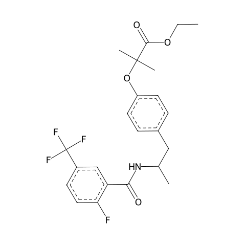 CCOC(=O)C(C)(C)Oc1ccc(CC(C)NC(=O)c2cc(C(F)(F)F)ccc2F)cc1